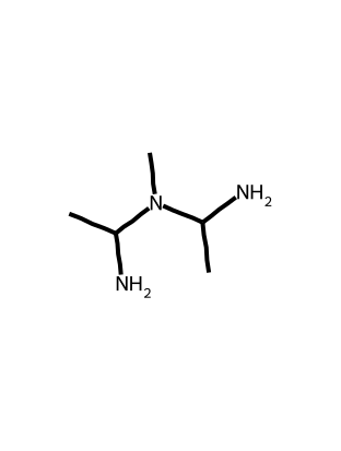 CC(N)N(C)C(C)N